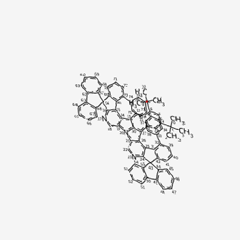 CC(C)(C)c1cc(C(C)(C)C)c2cc3c4c5c(ncc4n4c6cnc7c(c6c(c2c1)c34)-c1c(-c2ccccc2)cccc1C71c2ccccc2-c2ccccc21)C1(c2ccccc2-c2ccccc21)c1cccc(-c2ccccc2)c1-5